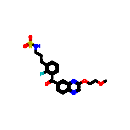 COCCOc1cnc2ccc(C(=O)c3cccc(CCCN[SH](=O)=O)c3F)cc2n1